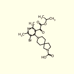 Cc1nc(C)c(C(=O)C(=O)OC(C)C)c(N2CCC3(CCN(C(=O)O)C3)CC2)c1Br